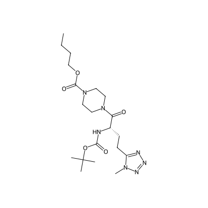 CCCCOC(=O)N1CCN(C(=O)[C@H](CCc2nnnn2C)NC(=O)OC(C)(C)C)CC1